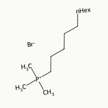 CCCCCCCCCCC[P+](C)(C)C.[Br-]